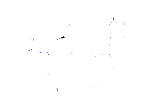 CC(C)(C)OC(=O)N1C2C[C@H]2C[C@H]1C(=O)NCc1cc(Cl)ccc1-n1cnnn1